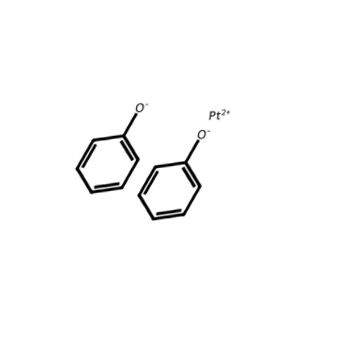 [O-]c1ccccc1.[O-]c1ccccc1.[Pt+2]